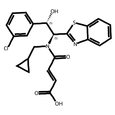 O=C(O)C=CC(=O)N(CC1CC1)[C@H](c1nc2ccccc2s1)[C@@H](O)c1cccc(Cl)c1